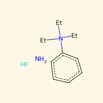 CC[N+](CC)(CC)c1ccccc1.F.N